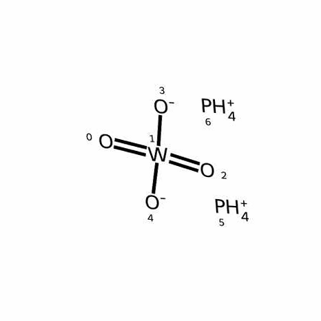 [O]=[W](=[O])([O-])[O-].[PH4+].[PH4+]